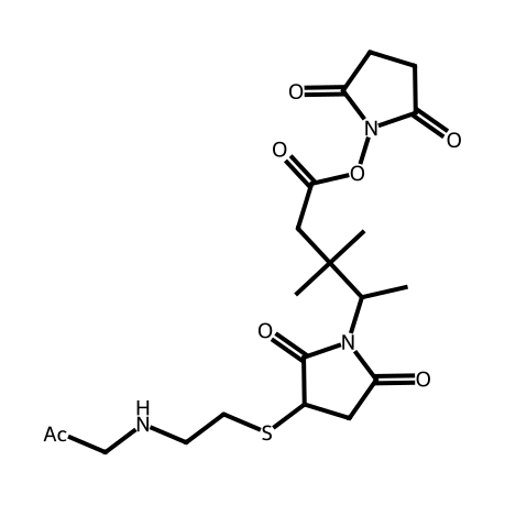 CC(=O)CNCCSC1CC(=O)N(C(C)C(C)(C)CC(=O)ON2C(=O)CCC2=O)C1=O